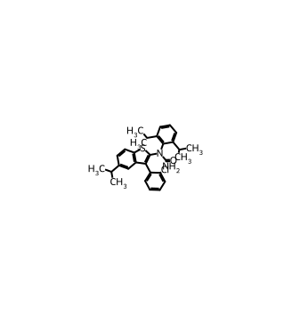 CC(C)c1ccc2sc(N(C(N)=O)c3c(C(C)C)cccc3C(C)C)c(-c3ccccc3Cl)c2c1